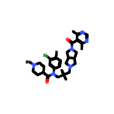 CC(=O)N1CCC(C(=O)N(CC(C)(C)CN2CC3CN(C(=O)c4c(C)ncnc4C)CC3C2)c2ccc(C)c(Cl)c2)CC1